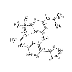 CC(=O)Nc1cc(Nc2cc(OC(C)C)cc(S(C)(=O)=O)n2)c(-c2c[nH]cn2)cn1